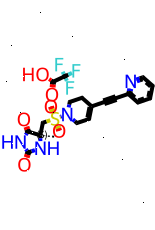 C[C@]1(CS(=O)(=O)N2CC=C(C#Cc3ccccn3)CC2)NC(=O)NC1=O.O=C(O)C(F)(F)F